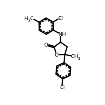 Cc1ccc(NC2CC(C)(c3ccc(Cl)cc3)OC2=O)c(Cl)c1